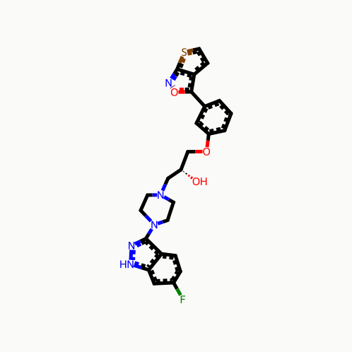 O[C@@H](COc1cccc(-c2onc3sccc23)c1)CN1CCN(c2n[nH]c3cc(F)ccc23)CC1